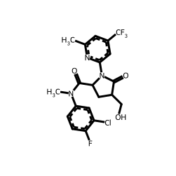 Cc1cc(C(F)(F)F)cc(N2C(=O)C(CO)CC2C(=O)N(C)c2ccc(F)c(Cl)c2)n1